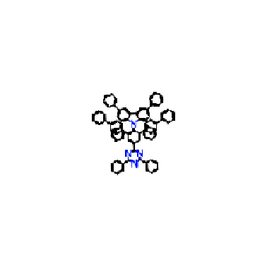 c1ccc(-c2ccc(-c3cc(-c4nc(-c5ccccc5)nc(-c5ccccc5)n4)cc(-c4ccc(-c5ccccc5)cc4)c3-n3c4c(-c5ccccc5)cc(-c5ccccc5)cc4c4cc(-c5ccccc5)cc(-c5ccccc5)c43)cc2)cc1